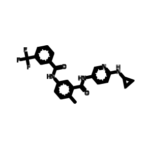 Cc1ccc(NC(=O)c2cccc(C(F)(F)F)c2)cc1C(=O)Nc1ccc(NC2CC2)nc1